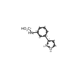 O=C(O)Nc1cccc(-c2ccon2)c1